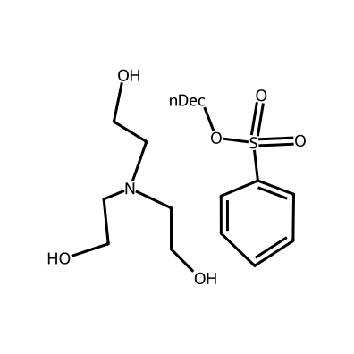 CCCCCCCCCCOS(=O)(=O)c1ccccc1.OCCN(CCO)CCO